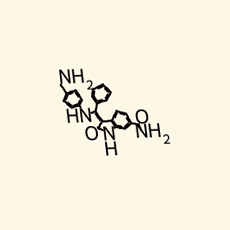 NCc1ccc(N/C(=C2\C(=O)Nc3cc(C(N)=O)ccc32)c2ccccc2)cc1